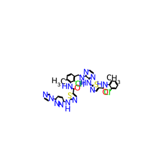 Cc1cccc(Cl)c1NC(=O)c1cnc(Nc2nccnc2NCc2ccc(C)c(NC(=O)c3cnc(Nc4ccc(-n5ccnc5)nn4)s3)c2Cl)s1